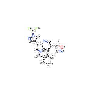 Cc1noc(C)c1-c1cnc2c(-c3cnn(C(F)F)c3)cn(C(C)c3ccccc3)c2c1